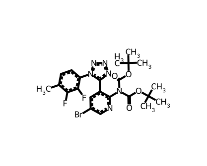 Cc1ccc(-n2nnnc2-c2cc(Br)cnc2N(C(=O)OC(C)(C)C)C(=O)OC(C)(C)C)c(F)c1F